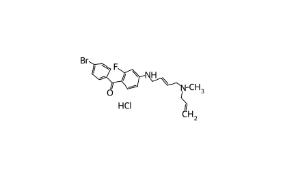 C=CCN(C)C/C=C/CNc1ccc(C(=O)c2ccc(Br)cc2)c(F)c1.Cl